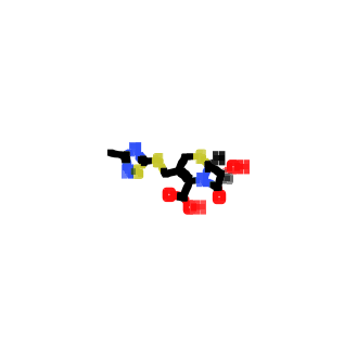 Cc1nsc(SCC2=C(C(=O)O)N3C(=O)[C@@H](O)[C@@H]3SC2)n1